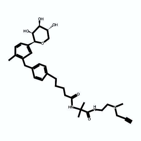 C#CCN(C)CCNC(=O)C(C)(C)NC(=O)CCCCc1ccc(Cc2cc([C@@H]3OC[C@@H](O)[C@H](O)[C@H]3O)ccc2C)cc1